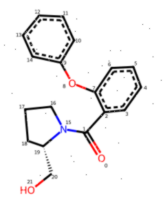 O=C(c1ccccc1Oc1ccccc1)N1CCC[C@H]1CO